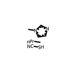 CCCC.Cn1ccnc1.N#CS